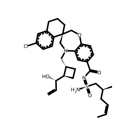 C=C[C@H](O)[C@@H]1CC[C@H]1CN1C[C@@]2(CCCc3cc(Cl)ccc32)COc2ccc(C(=O)N=[S@@](N)(=O)C[C@@H](C)C/C=C\C)cc21